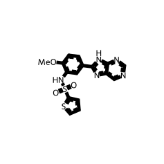 COc1ccc(-c2nc3cncnc3[nH]2)cc1NS(=O)(=O)c1cccs1